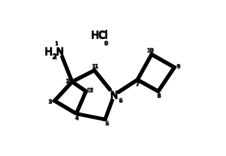 Cl.NC12CC(CN(C3CCC3)C1)C2